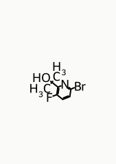 CC(C)(O)c1nc(Br)ccc1F